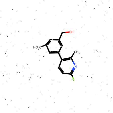 Cc1nc(F)ccc1-c1cc(CO)cc(C(=O)O)c1